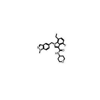 CCc1ccc(F)c2c(C(=O)NC3CCOCC3)cn(Cc3ccc4c(cnn4C)c3)c12